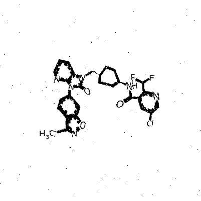 Cc1noc2cc(-n3c(=O)n(C[C@H]4CC[C@H](NC(=O)c5cc(Cl)cnc5C(F)F)CC4)c4cccnc43)ccc12